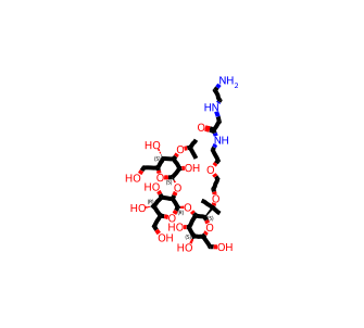 CC(C)OC1C(O)[C@H](OC2C(O)[C@@H](O)C(CO)O[C@@H]2OC2C(O)[C@H](O)C(CO)O[C@@H]2C(C)(C)OCCOCCNC(=O)CNCCN)OC(CO)[C@@H]1O